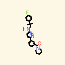 CC(C)(CNc1ccc(-c2cccc(C(=O)N3CCCCC3)c2)nn1)c1ccc(F)cc1